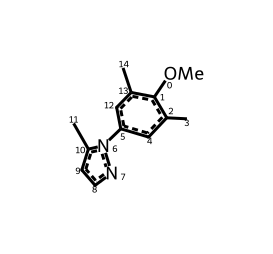 COc1c(C)cc(-n2nccc2C)cc1C